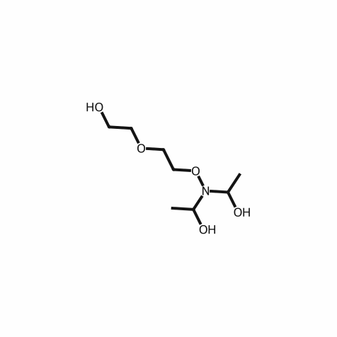 CC(O)N(OCCOCCO)C(C)O